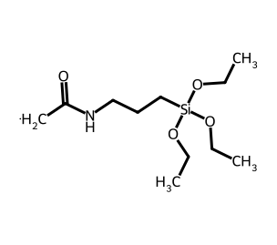 [CH2]C(=O)NCCC[Si](OCC)(OCC)OCC